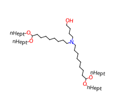 CCCCCCCOC(CCCCCCCCN(CCCCO)CCCCCCCCC(OCCCCCCC)OCCCCCCC)OCCCCCCC